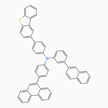 c1cc(-c2ccc3ccccc3c2)cc(N(c2ccc(-c3ccc4sc5ccccc5c4c3)cc2)c2ccc(-c3cc4ccccc4c4ccccc34)cc2)c1